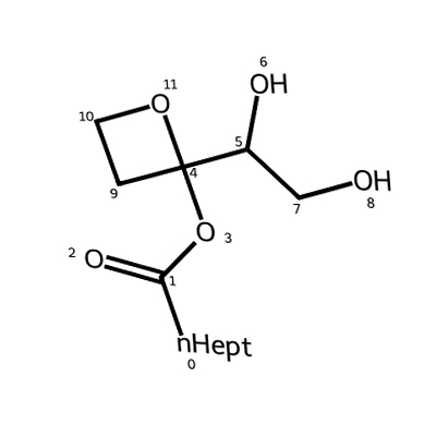 CCCCCCCC(=O)OC1(C(O)CO)CCO1